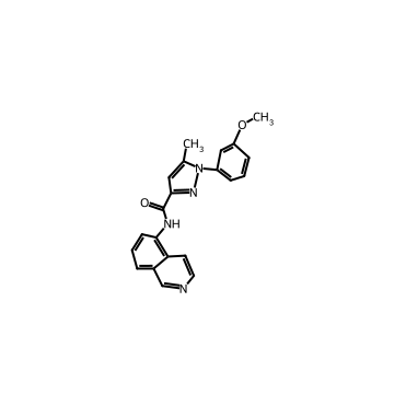 COc1cccc(-n2nc(C(=O)Nc3cccc4cnccc34)cc2C)c1